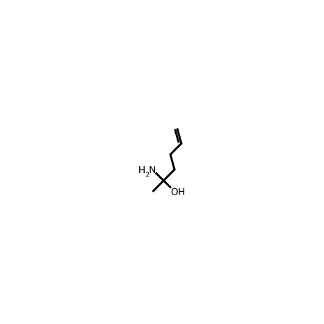 C=CCCC(C)(N)O